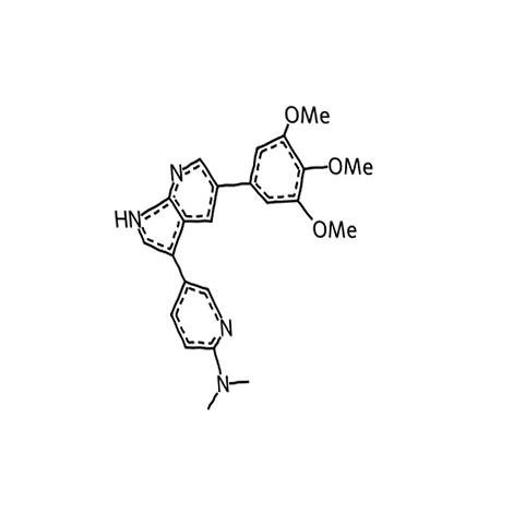 COc1cc(-c2cnc3[nH]cc(-c4ccc(N(C)C)nc4)c3c2)cc(OC)c1OC